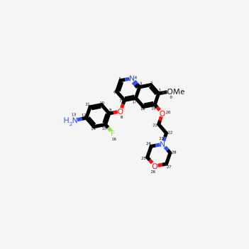 COc1cc2nccc(Oc3ccc(N)cc3F)c2cc1OCCN1CCOCC1